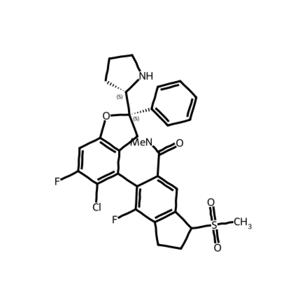 CNC(=O)c1cc2c(c(F)c1-c1c(Cl)c(F)cc3c1C[C@](c1ccccc1)([C@@H]1CCCN1)O3)CCC2S(C)(=O)=O